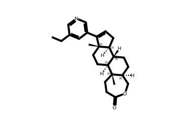 CCc1cncc(C2=CC[C@H]3[C@@H]4CC[C@H]5COC(=O)CC[C@]5(C)[C@H]4CC[C@]23C)c1